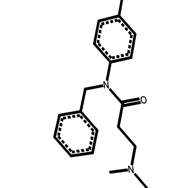 Cc1ccc(N(Cc2ccccc2)C(=O)CCN(C)C)cc1